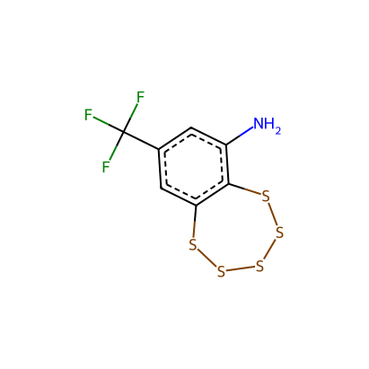 Nc1cc(C(F)(F)F)cc2c1SSSSS2